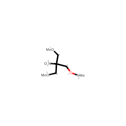 CNOCC(COC)(COC)[N+](=O)[O-]